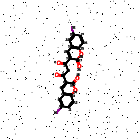 O=C(CC(=O)c1cc2cc(I)ccc2oc1=O)c1cc2cc(I)ccc2oc1=O